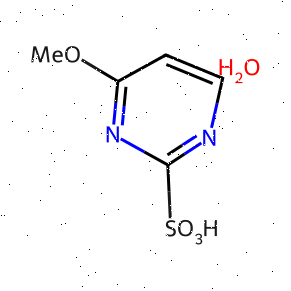 COc1ccnc(S(=O)(=O)O)n1.O